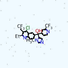 CCc1nc2ccc(C(O)(c3ccnc(C(F)(F)F)c3)c3cncn3C)cc2c(Cl)c1CC(F)(F)F